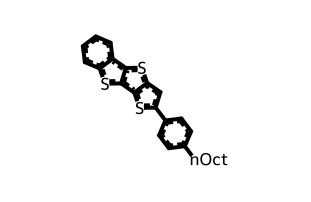 CCCCCCCCc1ccc(-c2cc3sc4c5ccccc5sc4c3s2)cc1